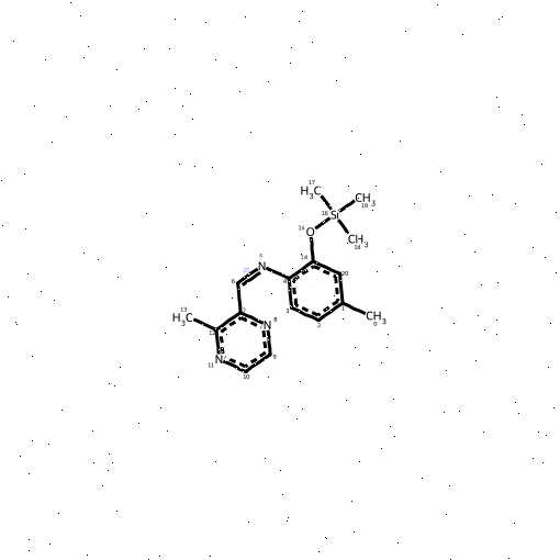 Cc1ccc(/N=C\c2nccnc2C)c(O[Si](C)(C)C)c1